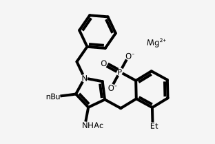 CCCCc1c(NC(C)=O)c(Cc2c(CC)cccc2P(=O)([O-])[O-])cn1Cc1ccccc1.[Mg+2]